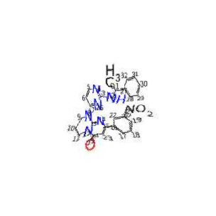 CC(Nc1nccc(N2CCCn3c2nc(-c2cccc([N+](=O)[O-])c2)cc3=O)n1)c1ccccc1